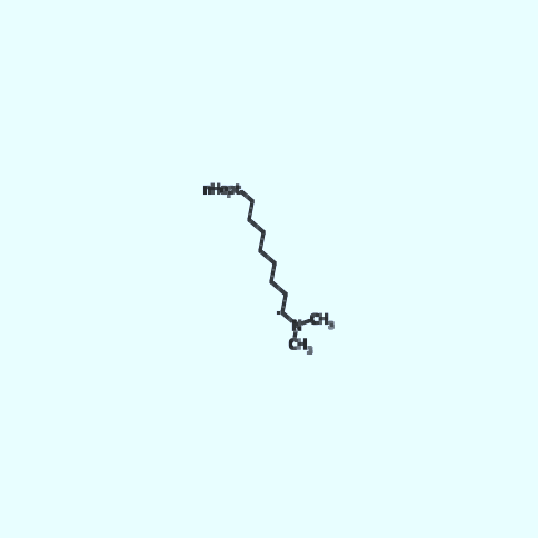 CCCCCCCCCCCCCC[CH]N(C)C